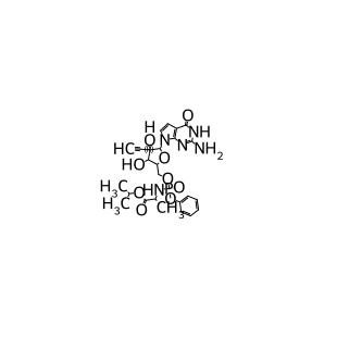 C#C[C@@]1(O)C(O)C(COP(=O)(NC(C)C(=O)OC(C)C)Oc2ccccc2)OC1n1ccc2c(=O)[nH]c(N)nc21